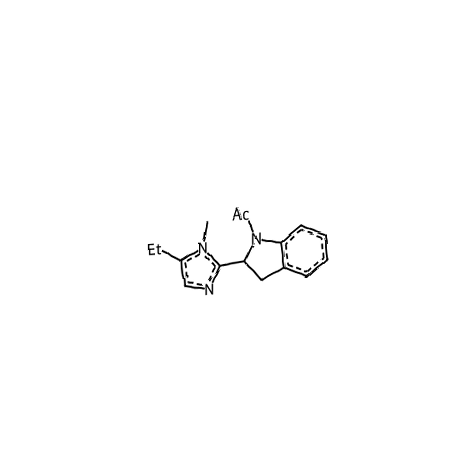 CCc1cnc(C2Cc3ccccc3N2C(C)=O)n1C